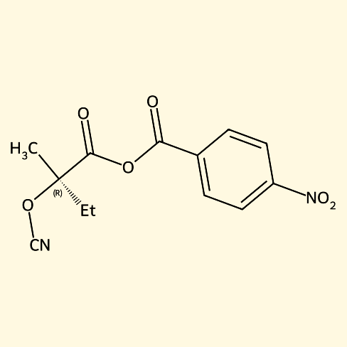 CC[C@@](C)(OC#N)C(=O)OC(=O)c1ccc([N+](=O)[O-])cc1